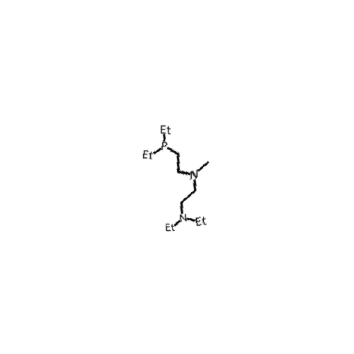 CCN(CC)CCN(C)CCP(CC)CC